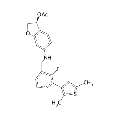 CC(=O)O[C@@H]1COc2cc(NCc3cccc(-c4cc(C)sc4C)c3F)ccc21